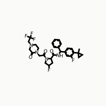 CC1(c2ccc(C(NC(=O)C3CC(F)CN3C(=O)CN3CCN(CC(F)(F)F)CC3=O)c3ccccc3)cc2F)CC1